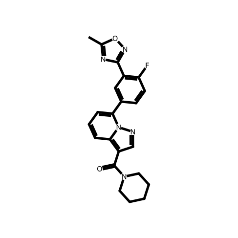 Cc1nc(-c2cc(-c3cccc4c(C(=O)N5CCCCC5)cnn34)ccc2F)no1